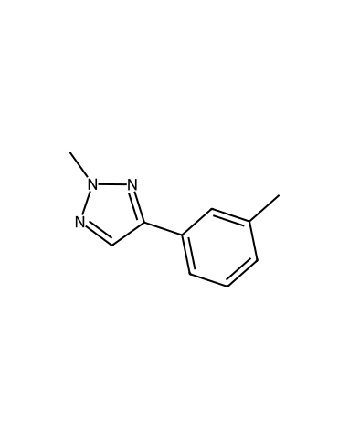 Cc1cccc(-c2cnn(C)n2)c1